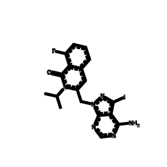 CC(C)n1c(Cn2nc(I)c3c(N)ncnc32)cc2cccc(F)c2c1=O